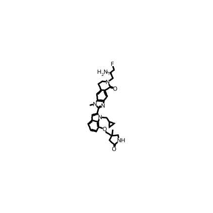 Cn1c(-c2cc3cccc(OCC4(C)CNC(=O)C4)c3n2CC2CC2)nc2cc3c(cc21)CCN(C[C@H](N)CF)C3=O